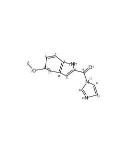 COc1ccc2[nH]c(C(=O)n3ccnc3)cc2c1